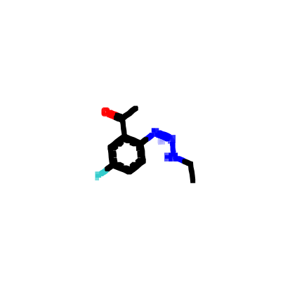 CCN/N=N\c1ccc(F)cc1C(C)=O